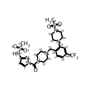 CS(=O)(=O)Nc1ccn(C(=O)N2CCN(Cc3ccc(C(F)(F)F)cc3N3CCN(S(C)(=O)=O)CC3)CC2)n1